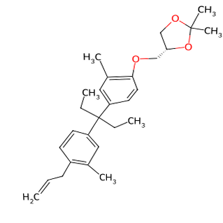 C=CCc1ccc(C(CC)(CC)c2ccc(OC[C@@H]3COC(C)(C)O3)c(C)c2)cc1C